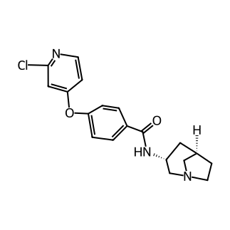 O=C(N[C@@H]1C[C@H]2CCN(C2)C1)c1ccc(Oc2ccnc(Cl)c2)cc1